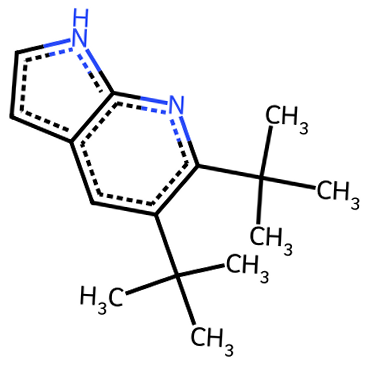 CC(C)(C)c1cc2cc[nH]c2nc1C(C)(C)C